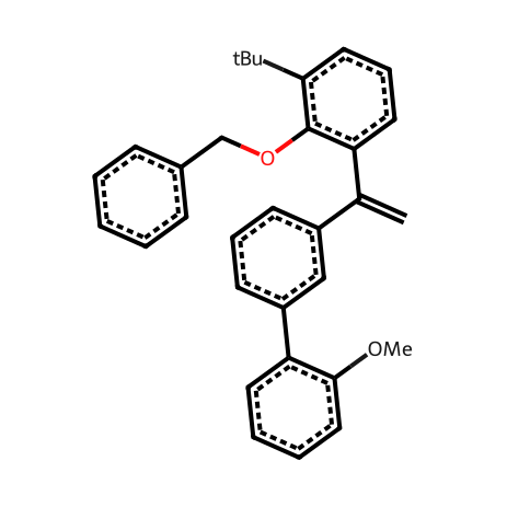 C=C(c1cccc(-c2ccccc2OC)c1)c1cccc(C(C)(C)C)c1OCc1ccccc1